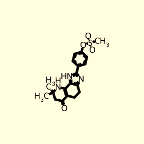 CC1(C)CC(=O)C2=C(N1)c1[nH]c(-c3ccc(OS(C)(=O)=O)cc3)nc1CC2